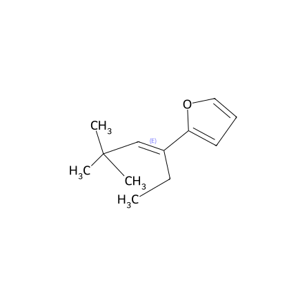 CC/C(=C\C(C)(C)C)c1ccco1